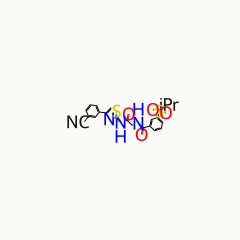 CC(C)S(=O)(=O)c1cccc(C(=O)NCC(=O)Nc2nc(-c3cccc(C#N)c3)cs2)c1